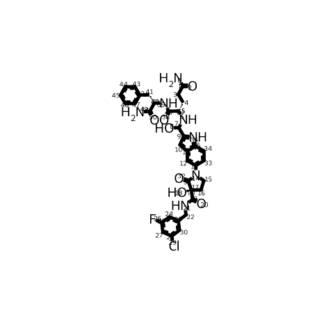 NC(=O)CC[C@H](NC(O)c1cc2cc(N3CC[C@](O)(C(=O)NCc4cc(F)cc(Cl)c4)C3=O)ccc2[nH]1)C(=O)N[C@@H](Cc1ccccc1)C(N)=O